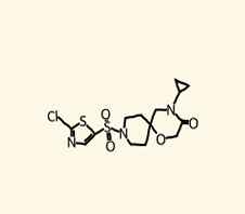 O=C1COC2(CCN(S(=O)(=O)c3cnc(Cl)s3)CC2)CN1C1CC1